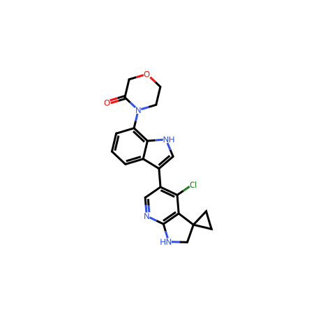 O=C1COCCN1c1cccc2c(-c3cnc4c(c3Cl)C3(CC3)CN4)c[nH]c12